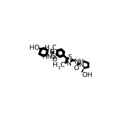 Cc1ccc(-c2sc(NC(=O)N3CCC[C@H]3CO)nc2C)cc1S(=O)(=O)Nc1ccc(O)cc1